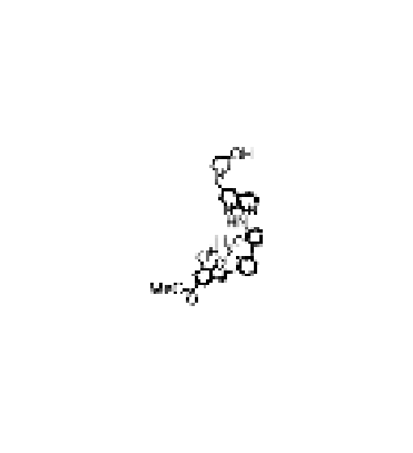 COC(=O)c1cc(Cl)c2oc(-c3cccc(-c4cccc(Nc5nccc6cc(CN7CC[C@@H](O)C7)cnc56)c4C)c3C)cc2c1